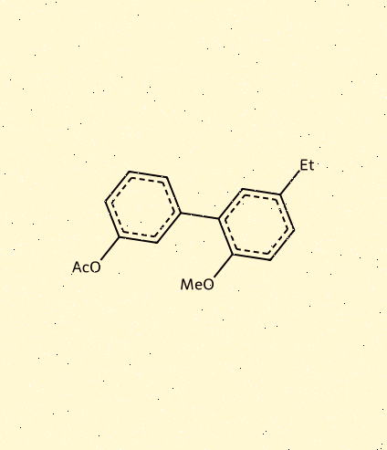 CCc1ccc(OC)c(-c2cccc(OC(C)=O)c2)c1